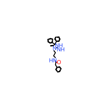 C=C1N(CCCCNC(=O)Cc2ccccc2)C(=N)NC1(c1ccccc1)c1ccccc1